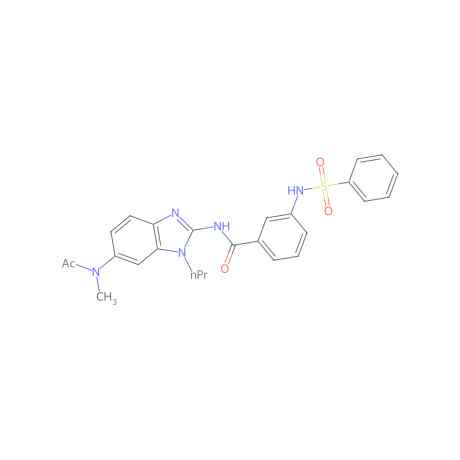 CCCn1c(NC(=O)c2cccc(NS(=O)(=O)c3ccccc3)c2)nc2ccc(N(C)C(C)=O)cc21